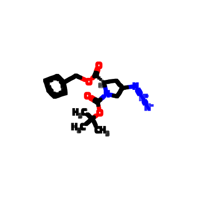 CC(C)(C)OC(=O)N1CC(N=[N+]=[N-])C[C@H]1C(=O)OCc1ccccc1